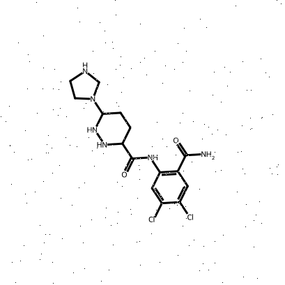 NC(=O)c1cc(Cl)c(Cl)cc1NC(=O)C1CCC(N2CCNC2)NN1